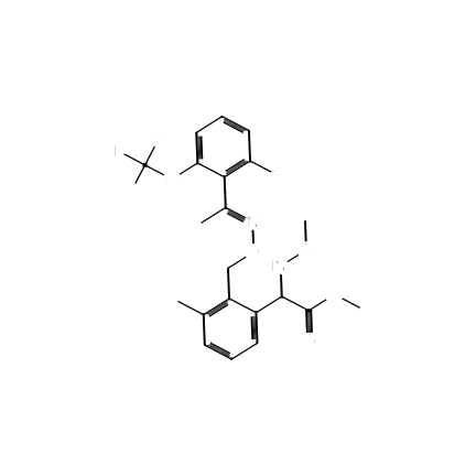 CONC(C(=O)OC)c1cccc(C)c1CO/N=C(\C)c1c(F)cccc1OC(F)(F)F